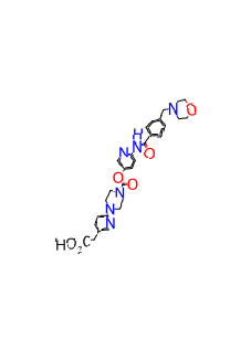 O=C(O)Cc1ccc(N2CCN(C(=O)Oc3ccc(NC(=O)c4ccc(CN5CCOCC5)cc4)nc3)CC2)nc1